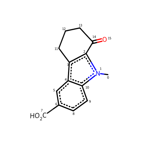 Cn1c2c(c3cc(C(=O)O)ccc31)CCCC2=O